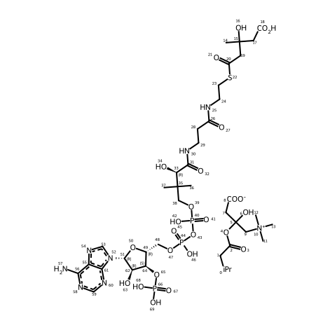 CC(C)CC(=O)OC(O)(CC(=O)[O-])C[N+](C)(C)C.CC(O)(CC(=O)O)CC(=O)SCCNC(=O)CCNC(=O)[C@H](O)C(C)(C)COP(=O)(O)OP(=O)(O)OC[C@H]1O[C@@H](n2cnc3c(N)ncnc32)[C@H](O)[C@@H]1OP(=O)(O)O